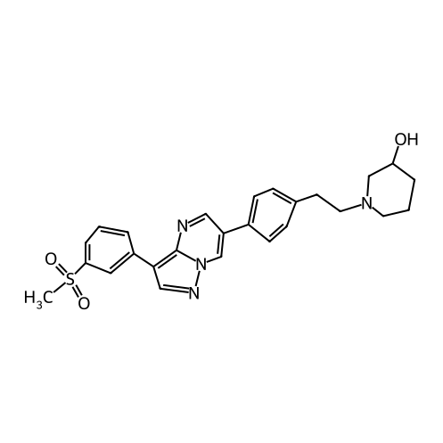 CS(=O)(=O)c1cccc(-c2cnn3cc(-c4ccc(CCN5CCCC(O)C5)cc4)cnc23)c1